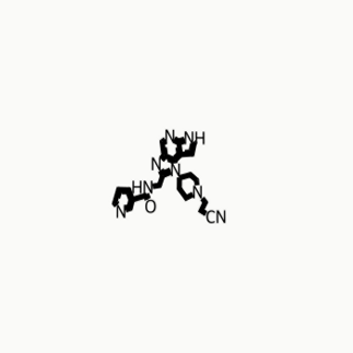 N#CCCN1CCC(n2c(CNC(=O)c3cccnc3)nc3cnc4[nH]ccc4c32)CC1